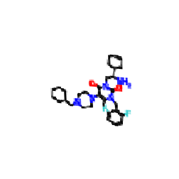 Cc1c(N2CCN(CC3CCCCC3)CC2)c(=O)n(CC(N)c2ccccc2)c(=O)n1Cc1c(F)cccc1F